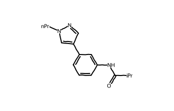 CCCn1cc(-c2cccc(NC(=O)C(C)C)c2)cn1